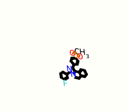 CS(=O)(=O)c1ccc(-c2nc(-c3cccc(F)c3)n3ccc4ccccc4c23)cc1